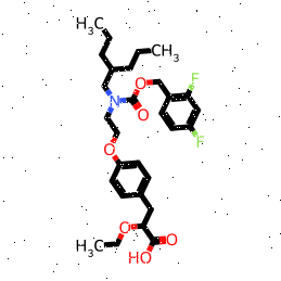 CCCC(CCC)CN(CCOc1ccc(CC(OCC)C(=O)O)cc1)C(=O)OCc1ccc(F)cc1F